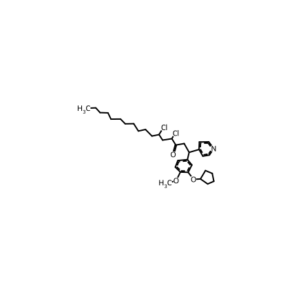 CCCCCCCCCCCC(Cl)CC(Cl)C(=O)CC(c1ccncc1)c1ccc(OC)c(OC2CCCC2)c1